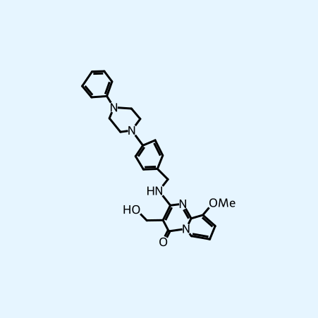 COc1cccn2c(=O)c(CO)c(NCc3ccc(N4CCN(c5ccccc5)CC4)cc3)nc12